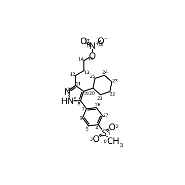 CS(=O)(=O)c1ccc(-c2[nH]nc(CCCO[N+](=O)[O-])c2C2CCCCC2)cc1